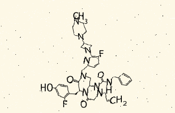 C=CCN1CC(=O)N2C(CN(Cc3ccc(F)c(N4CC(N5CCN(C)CC5)C4)n3)C(=O)[C@@H]2Cc2ccc(O)cc2F)N1C(=O)NCc1ccccc1